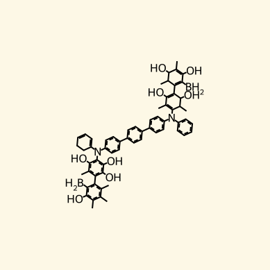 BC1=C(C2=C(O)C(C)=C(N(c3ccccc3)c3ccc(-c4ccc(-c5ccc(N(C6=CC=CCC6)c6c(O)c(C)c(-c7c(B)c(O)c(C)c(C)c7C)c(O)c6O)cc5)cc4)cc3)C(C)C2O)C(C)C(O)C(C)=C1O